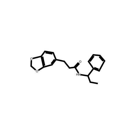 CCC(NC(=O)CCc1ccc2c(c1)OCO2)c1ccccc1